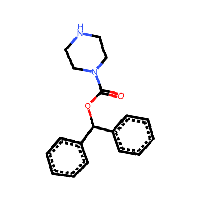 O=C(OC(c1ccccc1)c1ccccc1)N1CCNCC1